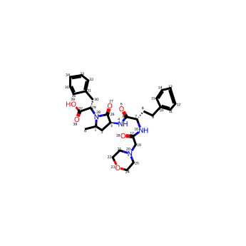 CC1C[C@H](NC(=O)[C@H](CCc2ccccc2)NC(=O)CN2CCOCC2)C(=O)N1[C@@H](Cc1ccccc1)C(=O)O